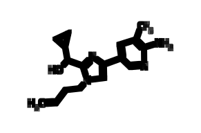 C=CCCn1cc(-c2cnc(N)c(C(F)(F)F)c2)nc1C(O)C1CC1